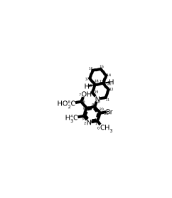 Cc1nc(C)c(C(O)C(=O)O)c(N2CC[C@H]3CCCC[C@H]3C2)c1Br